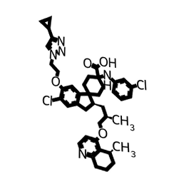 C[C@@H](COc1ccnc2c1[C@H](C)CCC2)C[C@H]1Cc2cc(Cl)c(OCCn3cc(C4CC4)nn3)cc2C12CCC(Nc1cccc(Cl)c1)(C(=O)O)CC2